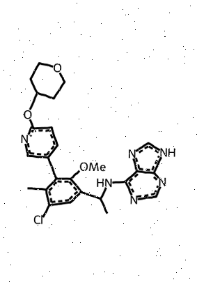 COc1c(C(C)Nc2ncnc3[nH]cnc23)cc(Cl)c(C)c1-c1ccc(OC2CCOCC2)nc1